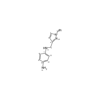 CC(C)n1ccc(CNc2ccc(N)cc2)n1